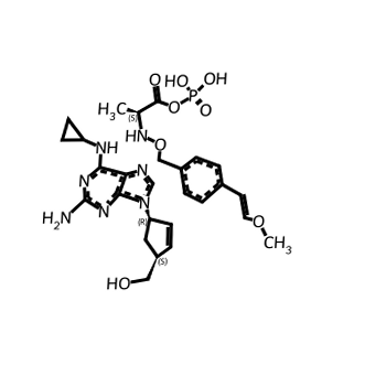 COC=Cc1ccc(CON[C@@H](C)C(=O)OP(=O)(O)O)cc1.Nc1nc(NC2CC2)c2ncn([C@H]3C=C[C@@H](CO)C3)c2n1